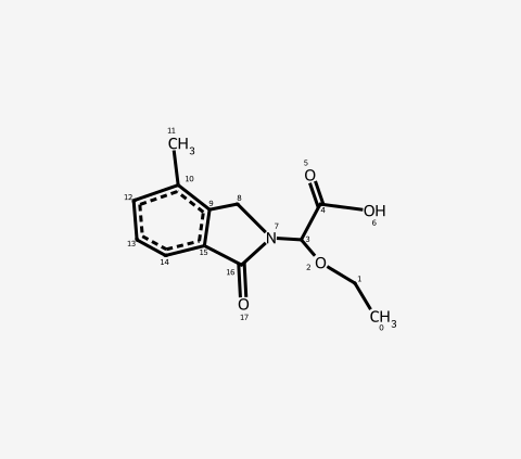 CCOC(C(=O)O)N1Cc2c(C)cccc2C1=O